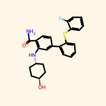 NC(=O)c1ccc(-c2ccccc2Sc2ccccc2F)cc1N[C@H]1CC[C@H](O)CC1